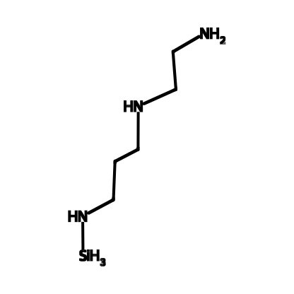 NCCNCCCN[SiH3]